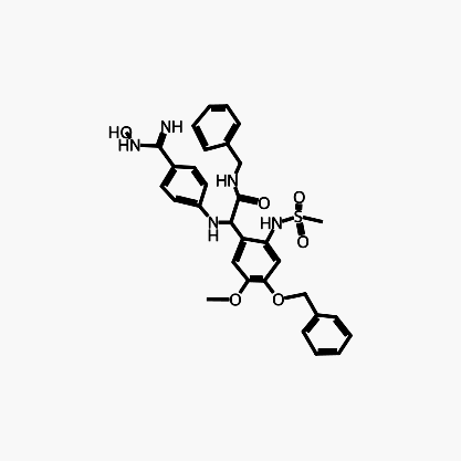 COc1cc(C(Nc2ccc(C(=N)NO)cc2)C(=O)NCc2ccccc2)c(NS(C)(=O)=O)cc1OCc1ccccc1